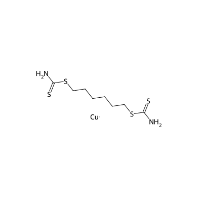 NC(=S)SCCCCCCSC(N)=S.[Cu]